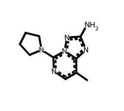 Cc1cnc(N2CCCC2)n2nc(N)nc12